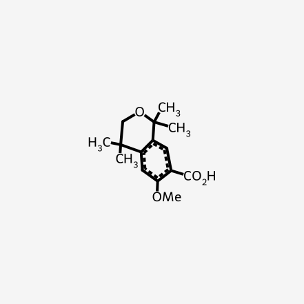 COc1cc2c(cc1C(=O)O)C(C)(C)OCC2(C)C